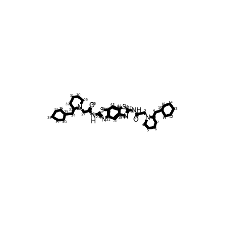 O=C(CN1CCCCC1CC1CCCCC1)Nc1nc2cc3nc(NC(=O)CN4CCCCC4CC4CCCCC4)sc3cc2s1